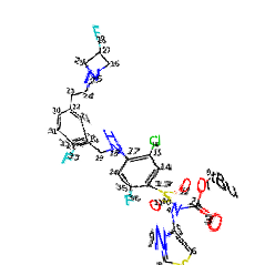 CC(C)(C)OC(=O)N(c1cscn1)S(=O)(=O)c1cc(Cl)c(NCc2cc(CCN3CC(F)C3)ccc2F)cc1F